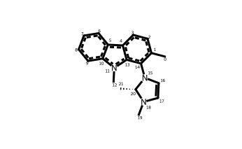 Cc1ccc2c3ccccc3n(C)c2c1N1C=CN(C)[C@@H]1C